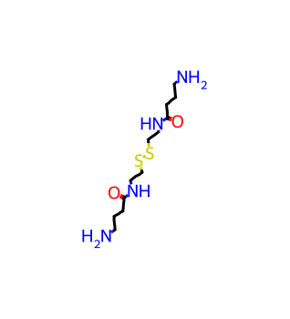 NCCCC(=O)NCCSSCCNC(=O)CCCN